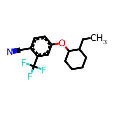 CCC1CCCCC1Oc1ccc(C#N)c(C(F)(F)F)c1